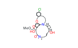 COCC(=O)[C@]1(O)CC(=O)N(C)[C@H](C)C/C=C/[C@H](O)[C@@H]2CC[C@H]2CN2CCCCc3cc(Cl)ccc3COc3ccc1cc32